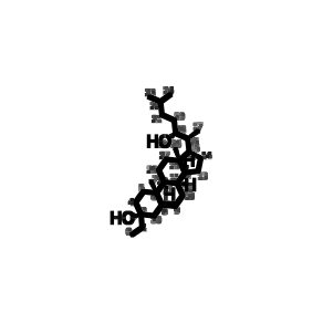 CC[C@]1(O)CC[C@@]2(C)C(=CC[C@H]3[C@@H]4CC[C@H]([C@H](C)[C@@H](O)CCC(C)C)[C@@]4(C)CC[C@@H]32)C1